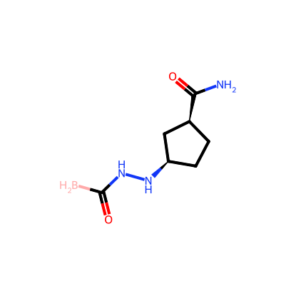 BC(=O)NN[C@@H]1CC[C@H](C(N)=O)C1